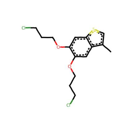 Cc1csc2cc(OCCCCl)c(OCCCCl)cc12